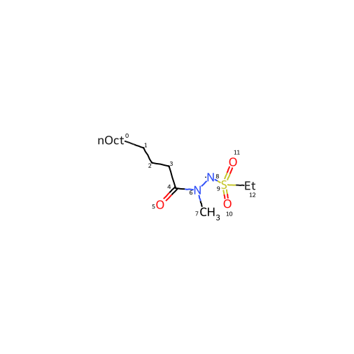 CCCCCCCCCCCC(=O)N(C)[N]S(=O)(=O)CC